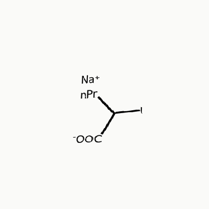 CCCC(I)C(=O)[O-].[Na+]